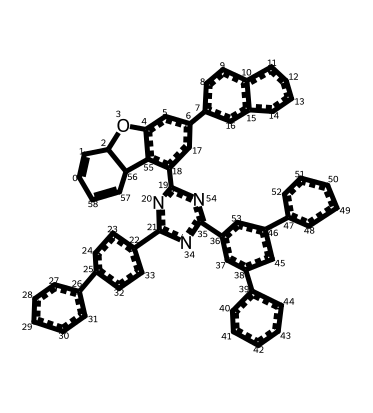 C1=CC2Oc3cc(-c4ccc5ccccc5c4)cc(-c4nc(-c5ccc(-c6ccccc6)cc5)nc(-c5cc(-c6ccccc6)cc(-c6ccccc6)c5)n4)c3C2C=C1